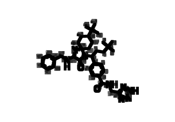 CC(C)(C)CCC(c1ccc(C(=O)NCc2nn[nH]n2)cc1)N1C(=O)C(NCc2ccccc2)=NC12CCC(C(C)(C)C)CC2